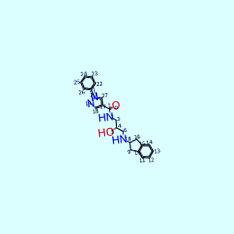 O=C(NCC(O)CNC1Cc2ccccc2C1)c1cnn(-c2ccccc2)c1